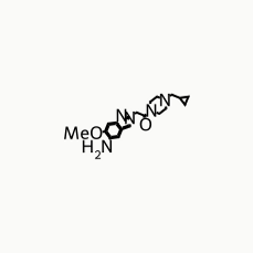 COc1cc2nn(CC(=O)N3CCN(CC4CC4)CC3)cc2cc1N